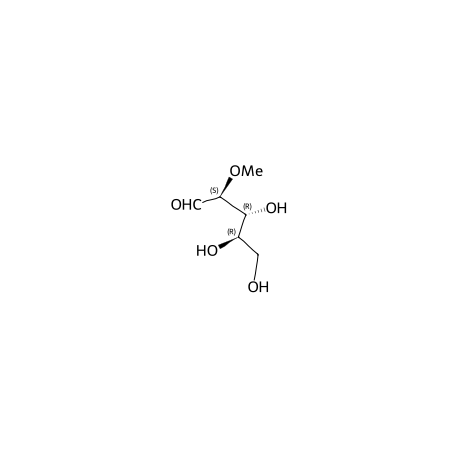 CO[C@H](C=O)[C@H](O)[C@H](O)CO